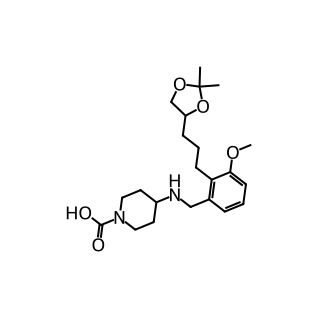 COc1cccc(CNC2CCN(C(=O)O)CC2)c1CCCC1COC(C)(C)O1